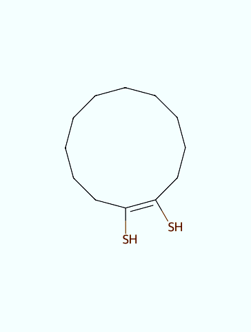 SC1=C(S)CCCCCCCCCC1